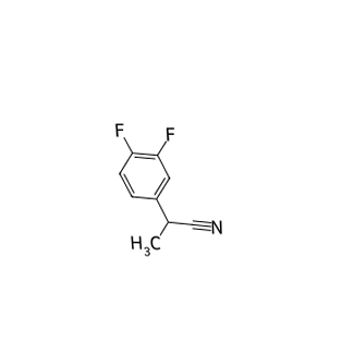 CC(C#N)c1ccc(F)c(F)c1